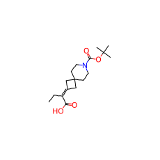 CCC(C(=O)O)=C1CC2(CCN(C(=O)OC(C)(C)C)CC2)C1